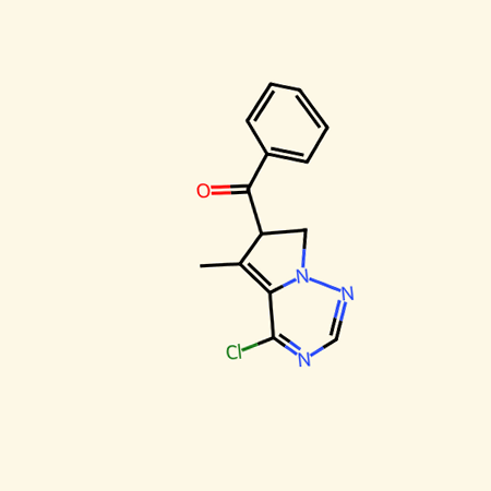 CC1=C2C(Cl)=NC=NN2CC1C(=O)c1ccccc1